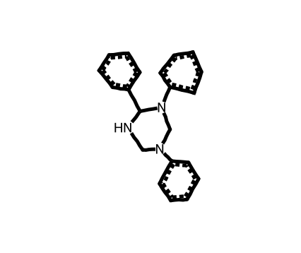 c1ccc(C2NCN(c3ccccc3)CN2c2ccccc2)cc1